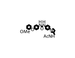 COc1ccccc1Oc1ccc(NC(=O)Nc2ccc(N3CCC(CNC(C)=O)C3)cc2)cc1